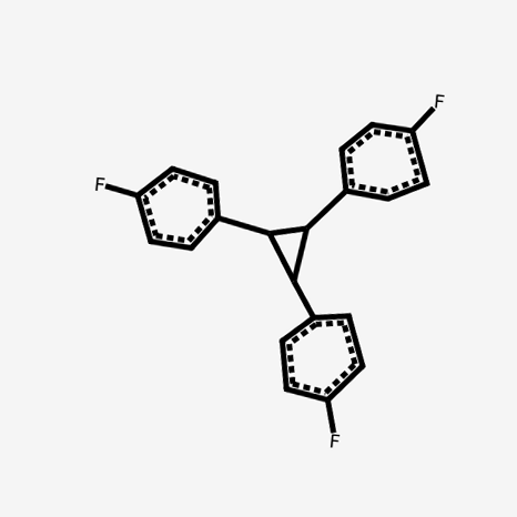 Fc1ccc(C2C(c3ccc(F)cc3)C2c2ccc(F)cc2)cc1